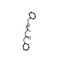 C/C(CC(=O)Cc1ccccc1)=N\OCc1ccccc1